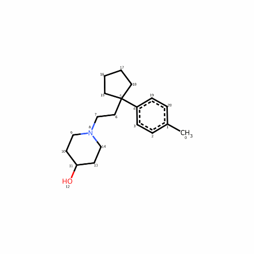 Cc1ccc(C2(CCN3CCC(O)CC3)CCCC2)cc1